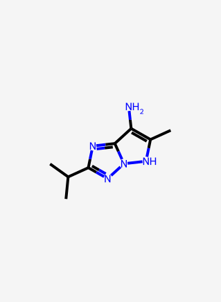 Cc1[nH]n2nc(C(C)C)nc2c1N